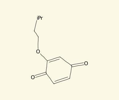 CC(C)CCOC1=CC(=O)C=CC1=O